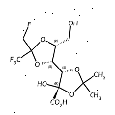 CC1(C)O[C@@H]([C@@H]2OC(CF)(C(F)(F)F)O[C@@H]2CO)[C@](O)(C(=O)O)O1